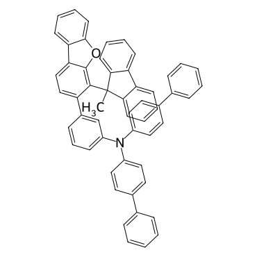 CC1(c2c(-c3cccc(N(c4ccc(-c5ccccc5)cc4)c4ccc(-c5ccccc5)cc4)c3)ccc3c2oc2ccccc23)c2ccccc2-c2ccccc21